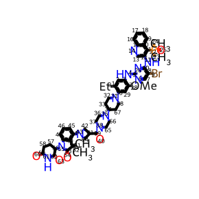 CCc1cc(Nc2ncc(Br)c(Nc3cnc4ccccc4c3P(C)(C)=O)n2)c(OC)cc1N1CCC(N2CCN(C(=O)C3CN(c4cccc5c4C(C)(C)C(=O)N5C4CCC(=O)NC4=O)C3)CC2)CC1